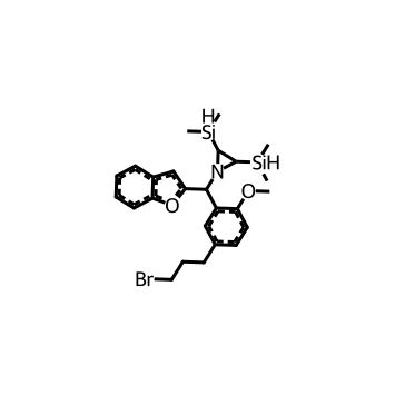 COc1ccc(CCCBr)cc1C(c1cc2ccccc2o1)N1C([SiH](C)C)C1[SiH](C)C